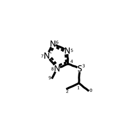 CC(C)Sc1nnnn1C